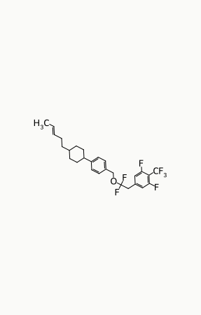 CC=CCCC1CCC(c2ccc(COC(F)(F)Cc3cc(F)c(C(F)(F)F)c(F)c3)cc2)CC1